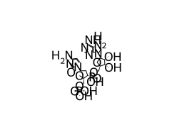 Nc1ccn([C@H]2C[C@H](P(=O)(O)OC[C@H]3O[C@@H](N4CNc5c(N)ncnc54)[C@H](O)[C@@H]3O)[C@@H](COP(=O)(O)O)O2)c(=O)n1